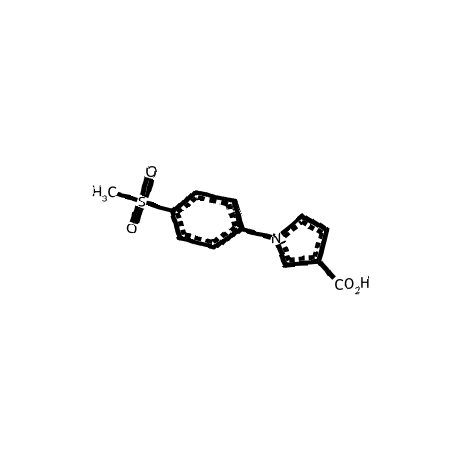 CS(=O)(=O)c1ccc(-n2ccc(C(=O)O)c2)cc1